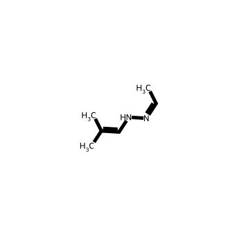 C/C=N\NC=C(C)C